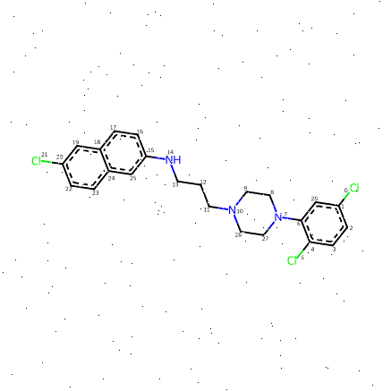 Clc1ccc(Cl)c(N2CCN(CCCNc3ccc4cc(Cl)ccc4c3)CC2)c1